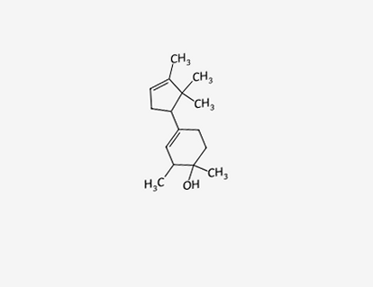 CC1=CCC(C2=CC(C)C(C)(O)CC2)C1(C)C